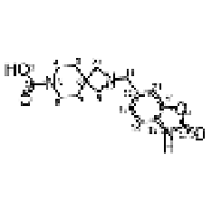 O=C(O)N1CCC2(CC1)CN(Cc1ccc3[nH]c(=O)oc3c1)C2